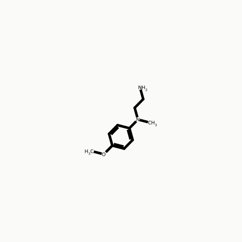 COc1ccc(N(C)CCN)cc1